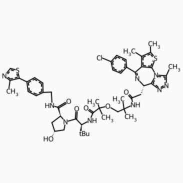 Cc1ncsc1-c1ccc(CNC(=O)[C@@H]2C[C@@H](O)CN2C(=O)[C@@H](NC(=O)C(C)(C)OCC(C)(C)NC(=O)C[C@@H]2N=C(c3ccc(Cl)cc3)c3c(sc(C)c3C)-n3c(C)nnc32)C(C)(C)C)cc1